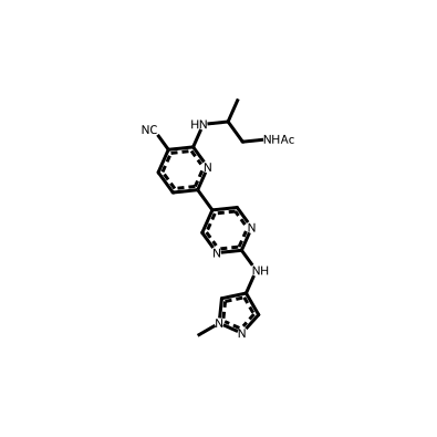 CC(=O)NCC(C)Nc1nc(-c2cnc(Nc3cnn(C)c3)nc2)ccc1C#N